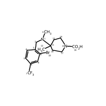 CN(Cc1ccc(C(F)(F)F)cc1Br)C1(C)CCN(C(=O)O)CC1